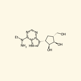 CCN(N)c1ncnc2c([C@@H]3C[C@H](CO)[C@@H](O)[C@H]3O)c[nH]c12